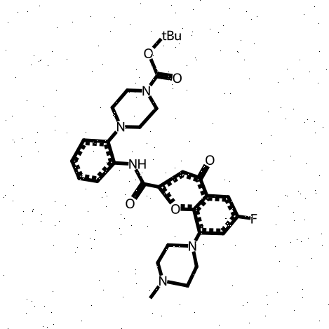 CN1CCN(c2cc(F)cc3c(=O)cc(C(=O)Nc4ccccc4N4CCN(C(=O)OC(C)(C)C)CC4)oc23)CC1